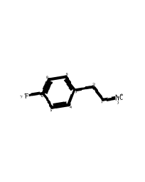 [C-]#[N+]CCc1ccc(F)cc1